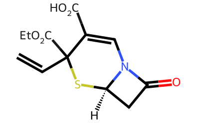 C=CC1(C(=O)OCC)S[C@@H]2CC(=O)N2C=C1C(=O)O